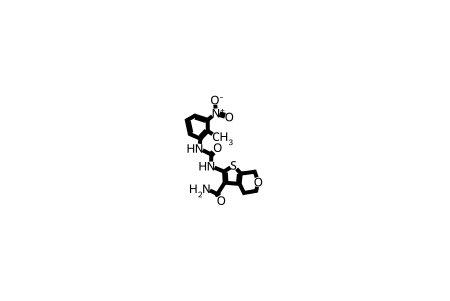 Cc1c(NC(=O)Nc2sc3c(c2C(N)=O)CCOC3)cccc1[N+](=O)[O-]